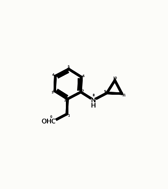 O=CCc1ccccc1NC1CC1